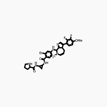 CCc1cc(NC2C3=NC=C(c4ccc(OC)c(F)c4F)C3CC=CN2C)ccc1C(=O)NC1CC1NC(=O)C1CCCN1